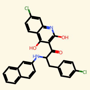 O=C(c1c(O)nc2cc(Cl)ccc2c1O)C(Cc1ccc(Cl)cc1)Nc1ccc2ccccc2c1